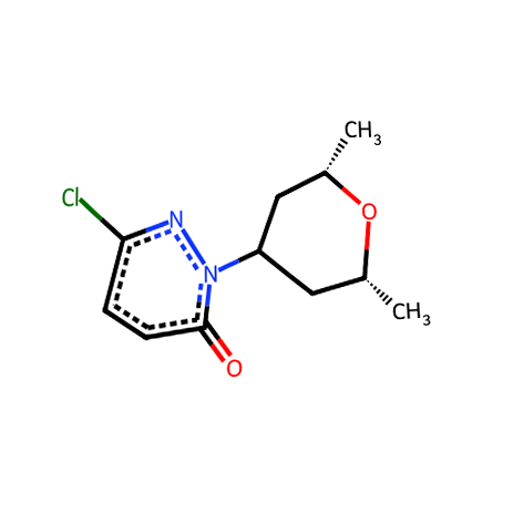 C[C@@H]1CC(n2nc(Cl)ccc2=O)C[C@H](C)O1